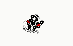 CC1(C)CC2(C)c3cc(C(C)(C)C)ccc3N(c3cc4c5c(c3)N3c6cc(ccc6B5c5cc(-c6ccccc6)ccc5N4c4ccc(C(C)(C)C)cc4-c4ccccc4)C(C)(C)c4cccc(c4)-c4cc(C(C)(C)C)ccc43)C2(C)C1